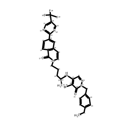 CCc1ccc(Cn2ncc(N[C@@H](C)CCCn3ccc4cc(-c5ncc(C(F)(F)F)cn5)ccc4c3=O)c(Br)c2=O)cc1